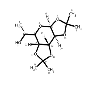 C[C@@H](O)C1O[C@H]2OC(C)(C)O[C@H]2[C@@H]2OC(C)(C)O[C@H]12